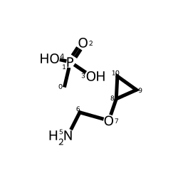 CP(=O)(O)O.NCOC1CC1